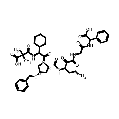 CCCC(NC(=O)[C@@H]1C[C@@H](OCc2ccccc2)CN1C(=O)C(NC(=O)C(C)(C)C(=O)O)C1CCCCC1)C(=O)C(=O)NCC(=O)NC(C(=O)O)c1ccccc1